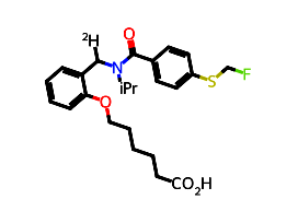 [2H]C(c1ccccc1OCCCCCC(=O)O)N(C(=O)c1ccc(SCF)cc1)C(C)C